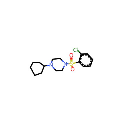 O=S(=O)(c1ccccc1Cl)N1CCN(C2CCCCC2)CC1